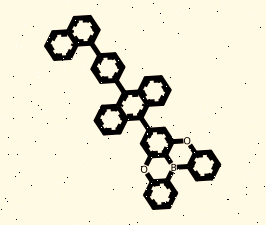 c1ccc2c(c1)Oc1cc(-c3c4ccccc4c(-c4ccc(-c5cccc6ccccc56)cc4)c4ccccc34)cc3c1B2c1ccccc1O3